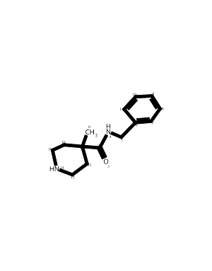 CC1(C(=O)NCc2ccccc2)CCNCC1